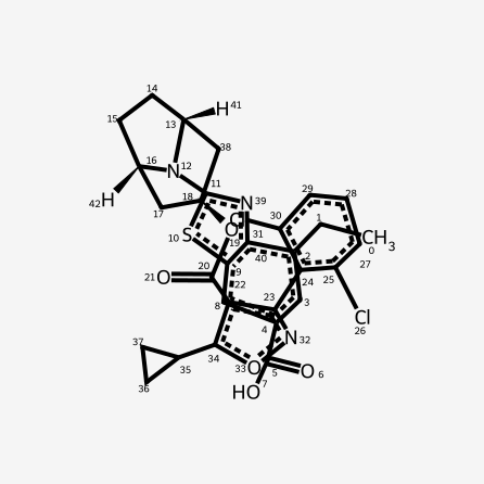 CCc1cc(C(=O)O)cc2sc(N3[C@@H]4CC[C@H]3C[C@H](OC(=O)c3c(-c5c(Cl)cccc5Cl)noc3C3CC3)C4)nc12